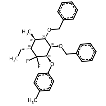 CC[C@@H]1[C@@H](C)[C@H](OCc2ccccc2)[C@@H](OCc2ccccc2)[C@@H](Oc2ccc(C)cc2)C1(F)F